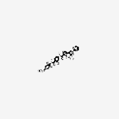 Cn1c(-c2cn(-c3ncccn3)nc2C(F)(F)F)cnc1C(=O)Nc1ccc(C(=O)NC2[C@H]3CN(C(=O)O)C[C@@H]23)c(Cl)c1